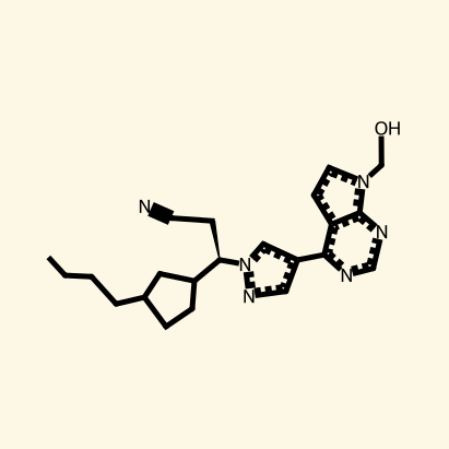 CCCCC1CCC([C@@H](CC#N)n2cc(-c3ncnc4c3ccn4CO)cn2)C1